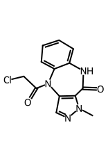 Cn1ncc2c1C(=O)Nc1ccccc1N2C(=O)CCl